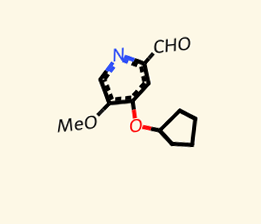 COc1cnc(C=O)cc1OC1CCCC1